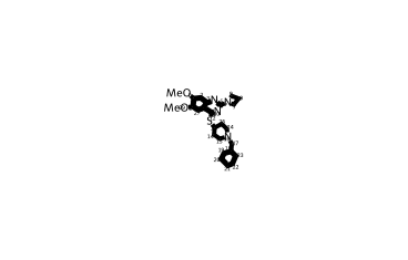 COc1cc2nc(N3CCC3)nc(SC3CCN(Cc4ccccc4)CC3)c2cc1OC